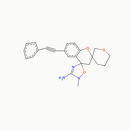 CN1OC2(CC3(CCCOC3)Oc3ccc(C#Cc4ccccc4)cc32)N=C1N